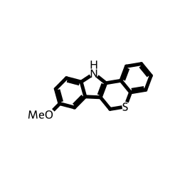 COc1ccc2[nH]c3c(c2c1)CSc1ccccc1-3